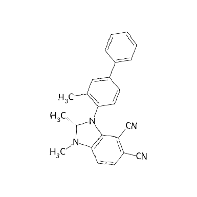 Cc1cc(-c2ccccc2)ccc1N1c2c(ccc(C#N)c2C#N)N(C)[C@@H]1C